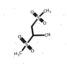 CS(=O)(=O)CC(C#N)S(C)(=O)=O